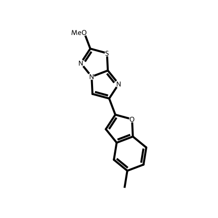 COc1nn2cc(-c3cc4cc(C)ccc4o3)nc2s1